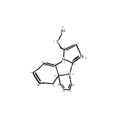 CC(=O)Sc1cnc2n1C1=CC=CCC13C=CC=CN23